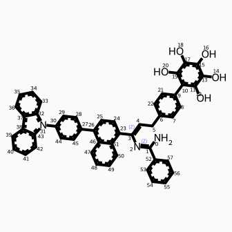 N/C(=N\C(=C/Cc1ccc(-c2c(O)c(O)c(O)c(O)c2O)cc1)c1ccc(-c2ccc(-n3c4ccccc4c4ccccc43)cc2)c2ccccc12)c1ccccc1